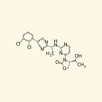 CC(Nc1nccc(N2C(=O)OC[C@@H]2C(C)O)n1)c1ncc(-c2cccc(Cl)c2Cl)cn1